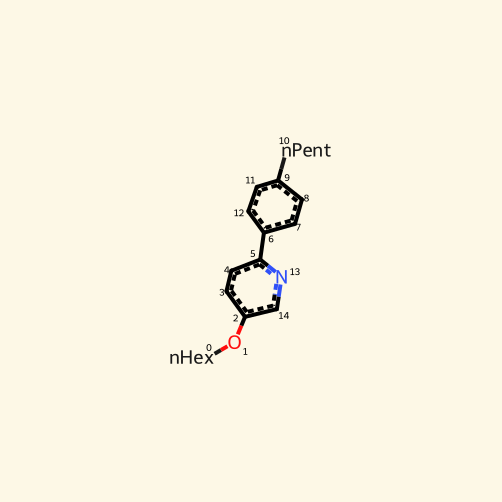 CCCCCCOc1ccc(-c2ccc(CCCCC)cc2)nc1